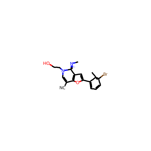 C/N=c1\c2cc(-c3cccc(Br)c3C)oc2c(C#N)cn1CCO